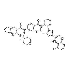 O=C(Nc1c(F)cccc1Cl)c1cc2c(s1)-c1ccccc1N(C(=O)c1ccc(NC(=O)c3cc4c(nc3N3CC5(CCOCC5)C3)CCC4)cc1F)CC2